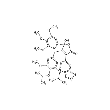 COc1cc(C2(O)OC(=O)C(c3ccc4nsnc4c3)=C2Cc2cc(OC)c(OC(C)C)c(OC(C)C)c2)cc(OC)c1OC